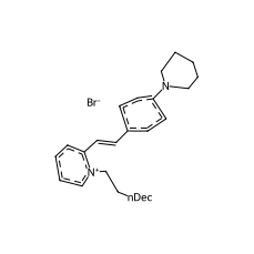 CCCCCCCCCCCC[n+]1ccccc1C=Cc1ccc(N2CCCCC2)cc1.[Br-]